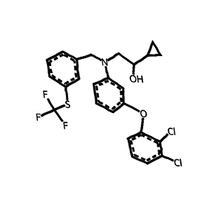 OC(CN(Cc1cccc(SC(F)(F)F)c1)c1cccc(Oc2cccc(Cl)c2Cl)c1)C1CC1